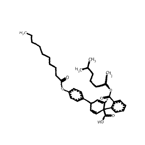 CCCCCCCCCC(=O)Oc1ccc(C2C=CC(C(=O)O)(c3ccccc3C(=O)OC(C)CCCC(C)C)C(F)=C2)cc1